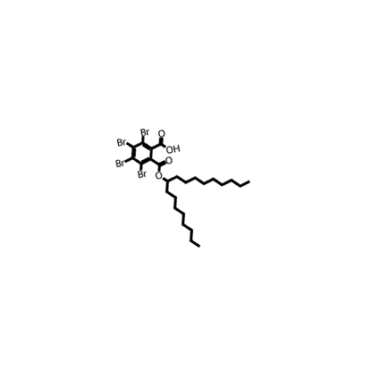 CCCCCCCCCC(CCCCCCCC)OC(=O)c1c(Br)c(Br)c(Br)c(Br)c1C(=O)O